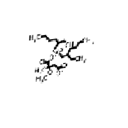 CCCCC(CC)[CH2][Sn+2][CH2]C(CC)CCCC.COC(C)(CC(=O)[O-])C(=O)[O-]